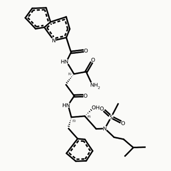 CC(C)CCN(C[C@@H](O)[C@H](Cc1ccccc1)NC(=O)C[C@H](NC(=O)c1ccc2ccccc2n1)C(N)=O)S(C)(=O)=O